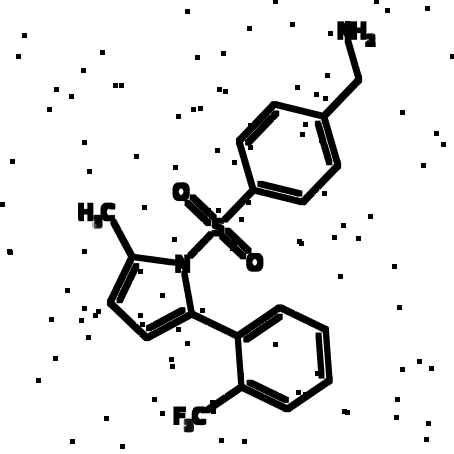 Cc1ccc(-c2ccccc2C(F)(F)F)n1S(=O)(=O)c1ccc(CN)cc1